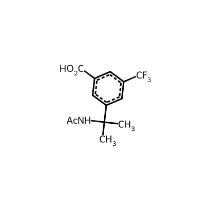 CC(=O)NC(C)(C)c1cc(C(=O)O)cc(C(F)(F)F)c1